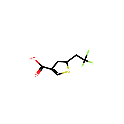 O=C(O)C1=CSC(CC(F)(F)F)C1